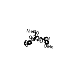 COC(=O)C[C@H]1CN(C[C@@H](O)c2ccnc3ccc(OC)cc23)CC[C@@]12CN(c1ccc3c(c1)OCCO3)C(=O)O2